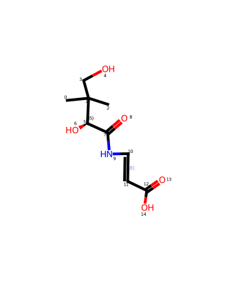 CC(C)(CO)[C@H](O)C(=O)N/C=C/C(=O)O